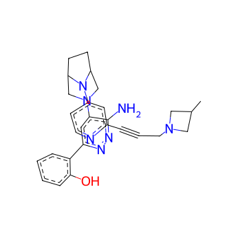 CC1CN(CC#Cc2cc(N3C4CCC3CN(c3cc(-c5ccccc5O)nnc3N)C4)ccn2)C1